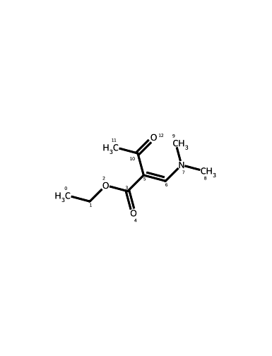 CCOC(=O)/C(=C/N(C)C)C(C)=O